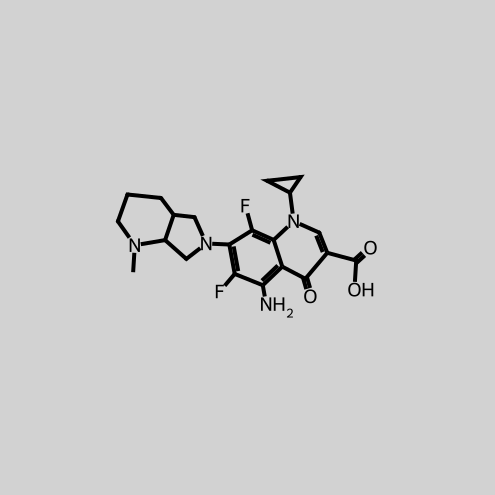 CN1CCCC2CN(c3c(F)c(N)c4c(=O)c(C(=O)O)cn(C5CC5)c4c3F)CC21